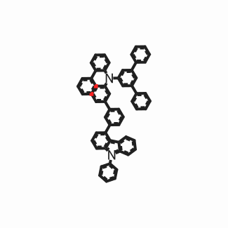 c1ccc(-c2cc(-c3ccccc3)cc(N(c3cccc(-c4cccc(-c5cccc6c5c5ccccc5n6-c5ccccc5)c4)c3)c3ccccc3-c3ccccc3)c2)cc1